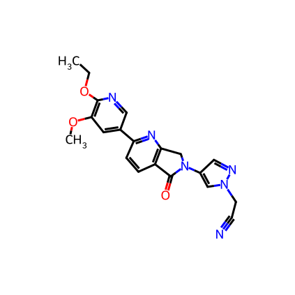 CCOc1ncc(-c2ccc3c(n2)CN(c2cnn(CC#N)c2)C3=O)cc1OC